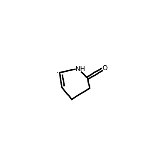 O=C1CCC=[C]N1